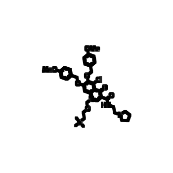 COc1ccc(COc2cc3c(c(Cl)c2OCc2ccc(OC)cc2)c(=O)c(C(=O)NCCN2CCCC2)cn3COCC[Si](C)(C)C)cc1